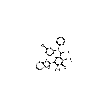 CN(c1nc(-c2nc3ccccc3o2)c(O)c(=O)n1C)C(c1ccccc1)c1cccc(Cl)c1